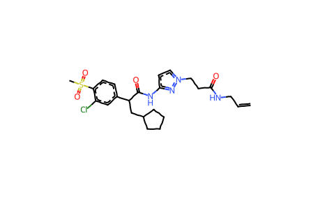 C=CCNC(=O)CCn1ccc(NC(=O)C(CC2CCCC2)c2ccc(S(C)(=O)=O)c(Cl)c2)n1